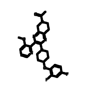 COc1cccnc1-c1nc2c(nc1N1CCC(Oc3ccc(F)cc3F)CC1)CCN(C(C)=O)C2